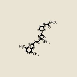 Cc1ncc(C)n2nc(C=Cc3nc(N4CC[C@@H](NC(=O)OC(C)(C)C)C4)nn3C)nc12